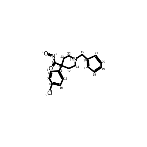 O=NC(=O)C1(c2ccc(Cl)cc2)CCN(Cc2ccccc2)CC1